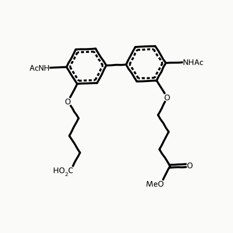 COC(=O)CCCOc1cc(-c2ccc(NC(C)=O)c(OCCCC(=O)O)c2)ccc1NC(C)=O